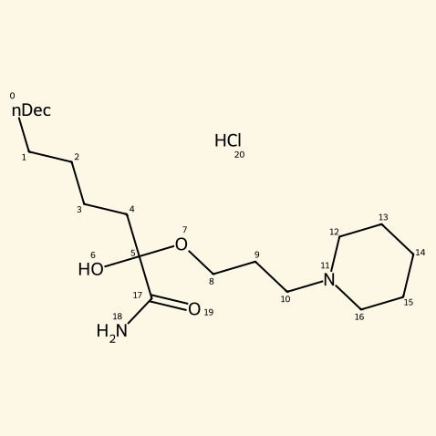 CCCCCCCCCCCCCCC(O)(OCCCN1CCCCC1)C(N)=O.Cl